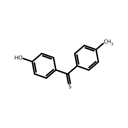 Cc1ccc(C(=S)c2ccc(O)cc2)cc1